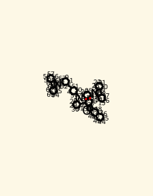 c1cc(-c2ccc(N(c3ccc(-n4c5ccccc5c5ccccc54)cc3)c3ccccc3-c3cccc4c3oc3cc5ccccc5cc34)cc2)cc(-n2c3ccccc3c3ccccc32)c1